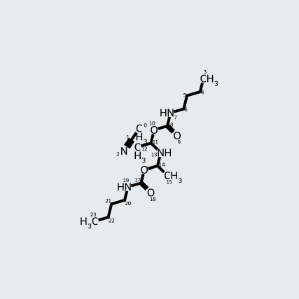 CC#N.CCCCNC(=O)OC(C)NC(C)OC(=O)NCCCC